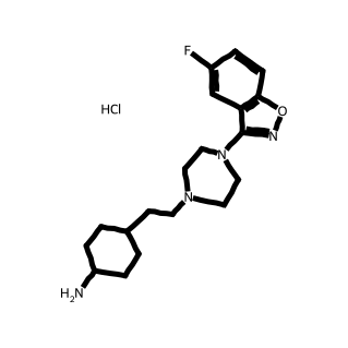 Cl.NC1CCC(CCN2CCN(c3noc4ccc(F)cc34)CC2)CC1